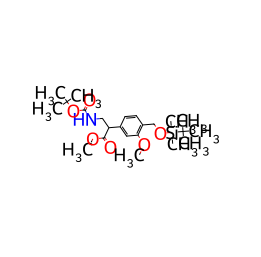 COC(=O)C(CNC(=O)OC(C)(C)C)c1ccc(CO[Si](C)(C)C(C)(C)C)c(OC)c1